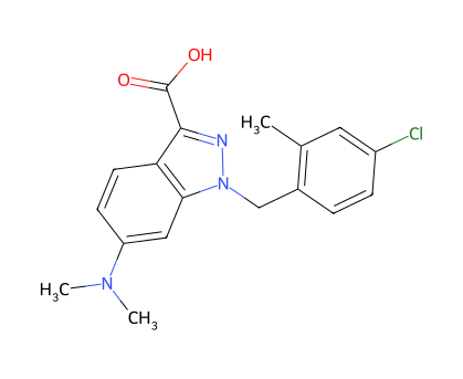 Cc1cc(Cl)ccc1Cn1nc(C(=O)O)c2ccc(N(C)C)cc21